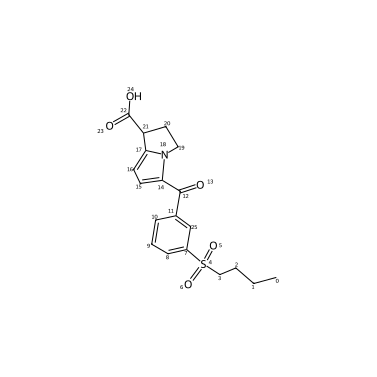 CCCCS(=O)(=O)c1cccc(C(=O)c2ccc3n2CCC3C(=O)O)c1